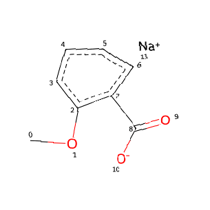 COc1ccccc1C(=O)[O-].[Na+]